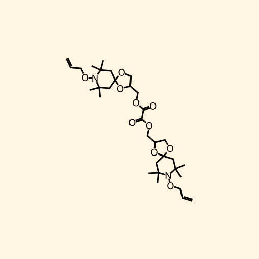 C=CCON1C(C)(C)CC2(CC1(C)C)OCC(COC(=O)C(=O)OCC1COC3(CC(C)(C)N(OCC=C)C(C)(C)C3)O1)O2